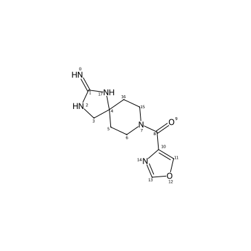 N=C1NCC2(CCN(C(=O)c3cocn3)CC2)N1